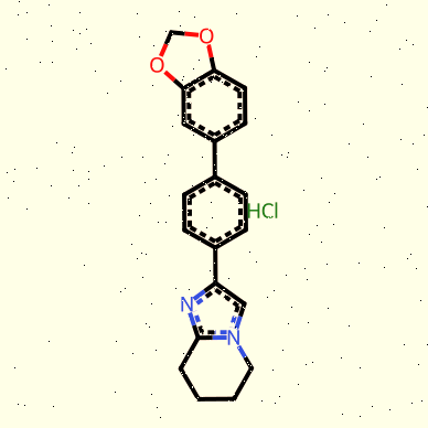 Cl.c1cc(-c2cn3c(n2)CCCC3)ccc1-c1ccc2c(c1)OCO2